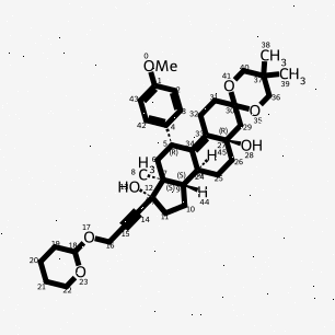 COc1ccc([C@H]2C[C@@]3(C)[C@@H](CC[C@@]3(O)C#CCOC3CCCCO3)[C@@H]3CC[C@@]4(O)CC5(CCC4=C32)OCC(C)(C)CO5)cc1